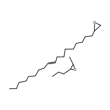 CCCC1OC1C.CCCCCCCCC=CCCCCCCCCC1CO1